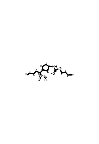 CCCCOC(=O)NC1CCC(C(CCCC)[PH](=O)O)C1